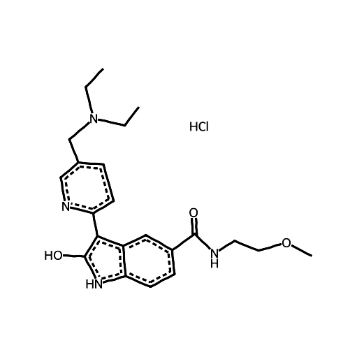 CCN(CC)Cc1ccc(-c2c(O)[nH]c3ccc(C(=O)NCCOC)cc23)nc1.Cl